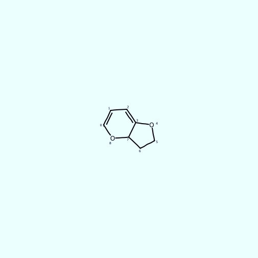 [C]1=CC=C2OCCC2O1